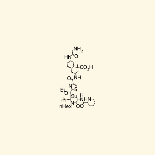 CCCCCCN(C(=O)[C@@H](NC(=O)C1CCCCN1)[C@@H](C)CC)[C@H](C[C@@H](OCC)c1nc(C(=O)N[C@@H](Cc2ccc(NC(=O)CN)cc2)CC(C)(C)C(=O)O)cs1)C(C)C